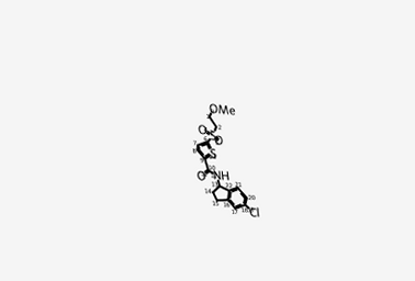 COCCS(=O)(=O)c1ccc(C(=O)NC2CCc3cc(Cl)ccc32)s1